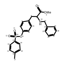 COC(=O)C(Cc1ccc(OS(=O)(=O)c2ccc(C)cc2)cc1)NCc1ccccc1